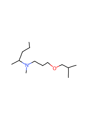 CCCC(C)N(C)CCCOCC(C)C